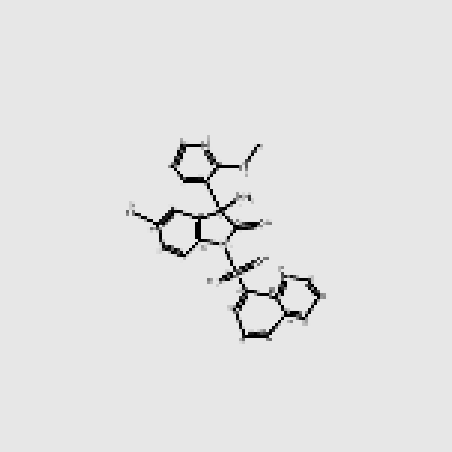 COc1ncccc1C1(N)C(=O)N(S(=O)(=O)c2cccc3cccnc23)c2ccc(Cl)cc21